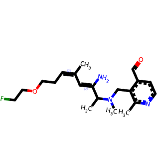 CC(=C/CCOCCF)/C=C(\N)C(C)N(C)Cc1c(C=O)ccnc1C